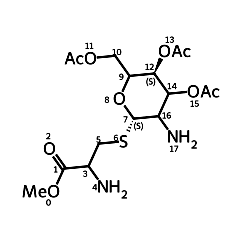 COC(=O)C(N)CS[C@@H]1OC(COC(C)=O)[C@@H](OC(C)=O)C(OC(C)=O)C1N